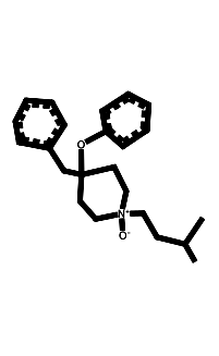 CC(C)CC[N+]1([O-])CCC(Cc2ccccc2)(Oc2ccccc2)CC1